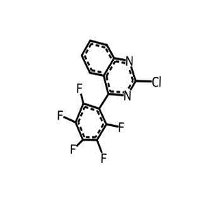 Fc1c(F)c(F)c(-c2nc(Cl)nc3ccccc23)c(F)c1F